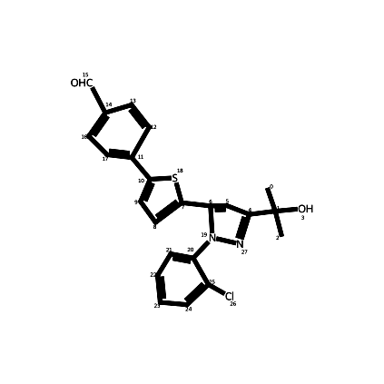 CC(C)(O)c1cc(-c2ccc(-c3ccc(C=O)cc3)s2)n(-c2ccccc2Cl)n1